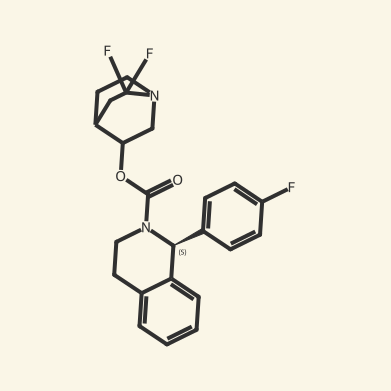 O=C(OC1CN2CCC1CC2(F)F)N1CCc2ccccc2[C@@H]1c1ccc(F)cc1